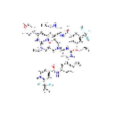 CCOc1nc(-c2cc(NC(=O)c3ccnc(C(C)(F)F)c3)ccc2C)cc(N2CCOC(CN(C)c3nc(-c4cc(NC(=O)c5cccc(C(F)(F)F)c5)cnc4C)cc(N4CCOCC4)n3)C2)n1